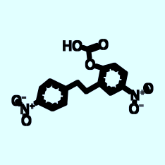 O=C(O)Oc1ccc([N+](=O)[O-])cc1CCc1ccc([N+](=O)[O-])cc1